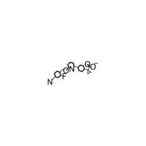 CCOC(=O)C1(c2ccc(-c3cccc(OCc4ccc(C#N)cc4F)n3)cc2)CC1